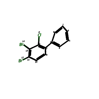 Clc1c(-c2ccccc2)ccc(Br)c1Br